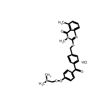 Cc1cccc2nc(SCc3ccc(C(=O)c4ccc(OCCN(C)C)cc4)cc3)n(C)c(=O)c12.Cl